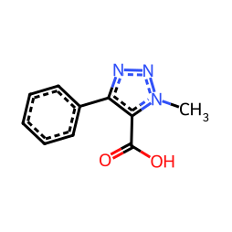 Cn1nnc(-c2ccccc2)c1C(=O)O